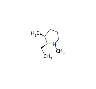 CC[C@H]1[C@@H](C)CCCN1C